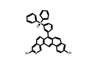 CCCc1ccc2c(ccc3c(-c4cccc(P(=O)(c5ccccc5)c5ccccc5)c4)c4ccc5cc(CCC)ncc5c4cc32)c1